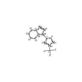 CC(C)(C)n1ncc(-n2nnc3ccccc32)n1